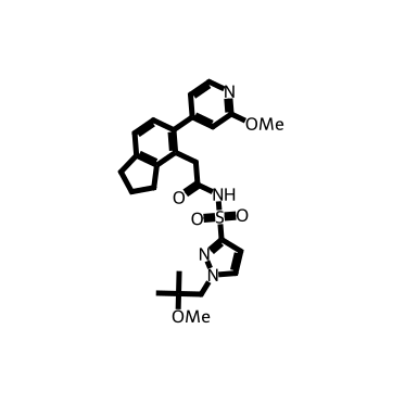 COc1cc(-c2ccc3c(c2CC(=O)NS(=O)(=O)c2ccn(CC(C)(C)OC)n2)CCC3)ccn1